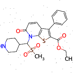 CCOC(=O)c1sc2c(ccc(=O)n2C(C2CCNCC2)S(C)(=O)=O)c1-c1ccccc1